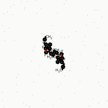 C=Cc1ccc(Oc2ccc(C3(c4cc(F)cc(F)c4)c4ccccc4-c4ccc(C(c5cccc(F)c5)c5ccc6c(c5)C5(CC6(C)C)CC(C)(C)c6ccc(N(c7cccc(F)c7)c7ccc8c(c7)C(c7ccc(Oc9ccc(C=C)cc9)cc7)(c7cc(F)cc(F)c7)c7ccccc7-8)cc65)cc43)cc2)cc1